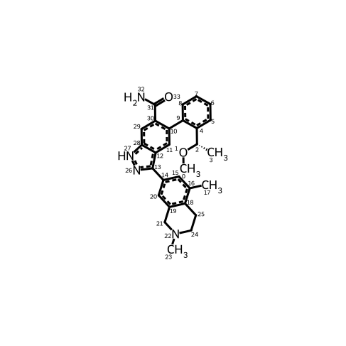 CO[C@@H](C)c1ccccc1-c1cc2c(-c3cc(C)c4c(c3)CN(C)CC4)n[nH]c2cc1C(N)=O